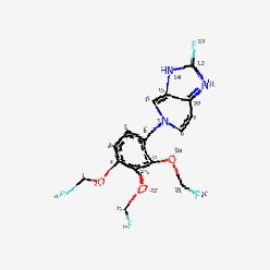 FCOc1ccc(N2C=CC3=NC(F)NC3=C2)c(OCF)c1OCF